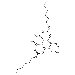 CCCCCCOC(=O)Oc1c(OCC)c(OCC)c(OC(=O)OCCCCCC)c2ccccc12